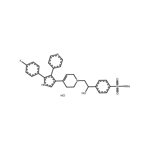 CNS(=O)(=O)c1ccc(C(O)CN2CC=C(c3c[nH]c(-c4ccc(F)cc4)c3-c3ccncc3)CC2)cc1.Cl